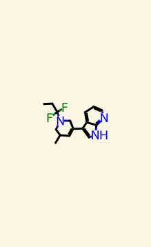 CCC(F)(F)N1CC(c2c[nH]c3ncccc23)=CC(C)C1